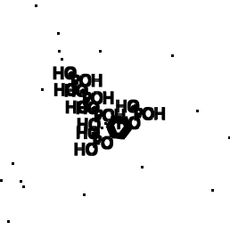 OP(O)O.OP(O)O.OP(O)O.OP(O)O.OP(O)Oc1ccccc1